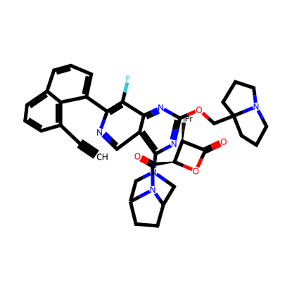 C#Cc1cccc2cccc(-c3ncc4c(N5CC6CCC(C5)N6C(=O)[C@@H]5OC(=O)[C@@H]5C(C)C)nc(OCC56CCCN5CCC6)nc4c3F)c12